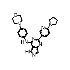 c1cc(N2CCOCC2)ccc1Nc1nc(-c2ccc(N3CCCC3)nc2)nc2cn[nH]c12